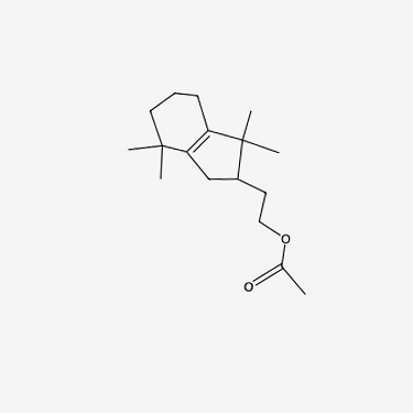 CC(=O)OCCC1CC2=C(CCCC2(C)C)C1(C)C